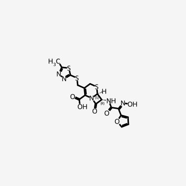 Cc1nnc(SCC2=C(C(=O)O)N3C(=O)[C@@H](NC(=O)C(=NO)c4ccco4)[C@@H]3SC2)s1